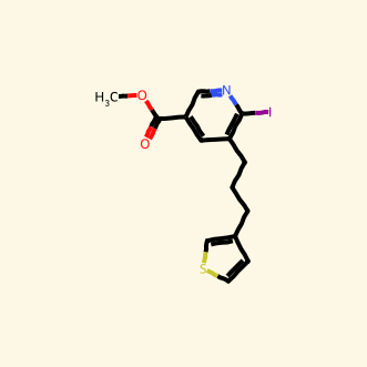 COC(=O)c1cnc(I)c(CCCc2ccsc2)c1